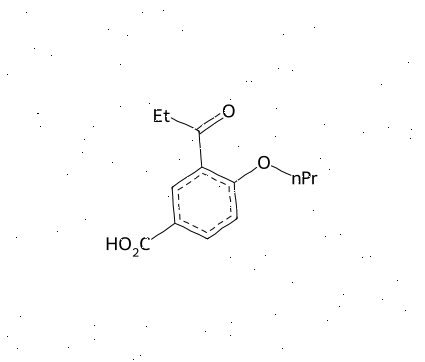 CCCOc1ccc(C(=O)O)cc1C(=O)CC